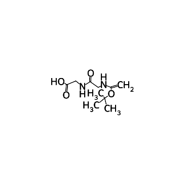 C=C(NCC(=O)NCC(=O)O)OC(C)(C)C